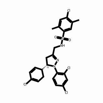 Cc1cc(S(=O)(=O)NCC2=NN(c3ccc(Cl)cc3Cl)[C@H](C3C=CC(Cl)=CC3)C2)c(C)cc1Cl